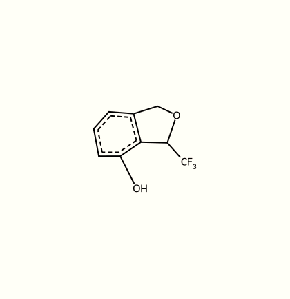 Oc1cccc2c1C(C(F)(F)F)OC2